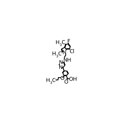 CCCOc1cc(-c2cc(NCCn3c(C)cc4c(C)c(F)cc(Cl)c43)ncn2)ccc1C(=O)O